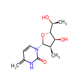 C=C1C=CN([C@@H]2O[C@H]([C@H](C)O)[C@@H](O)[C@H]2C)C(=O)N1